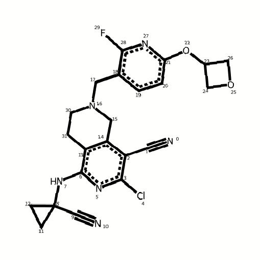 N#Cc1c(Cl)nc(NC2(C#N)CC2)c2c1CN(Cc1ccc(OC3COC3)nc1F)CC2